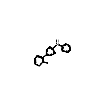 CC1CC=CC=C1c1ccc(Nc2ccccc2)cc1